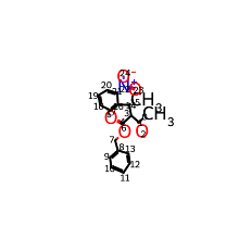 CC(=O)C(C(=O)OCc1ccccc1)C(C)c1ccccc1[N+](=O)[O-]